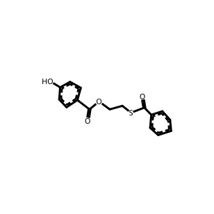 O=C(OCCSC(=O)c1ccccc1)c1ccc(O)cc1